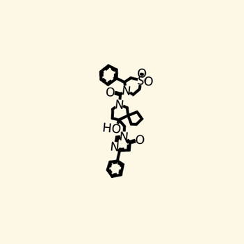 O=C(N1CCC(O)(Cn2cnc(-c3ccccc3)cc2=O)C2(CCCC2)C1)N1CCS(=O)(=O)CC1c1ccccc1